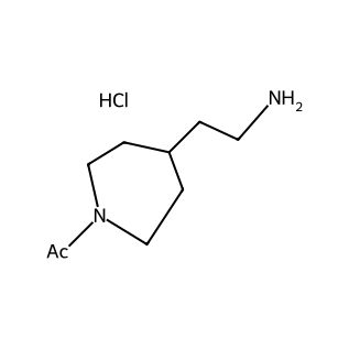 CC(=O)N1CCC(CCN)CC1.Cl